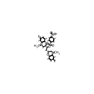 CN1C[C@H](CC(OS(=O)(=O)c2ccc([N+](=O)[O-])cc2)[C@@H]2CN(C)c3cc(F)ccc3O2)Oc2ccc(F)cc21